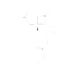 C[C@@]1(NC(=O)O)CC(=O)N1P(=O)(O)OCC(=O)NN